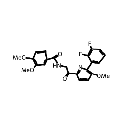 COc1ccc(C(=O)NCC(=O)c2ccc(OC)c(-c3cccc(F)c3F)n2)cc1OC